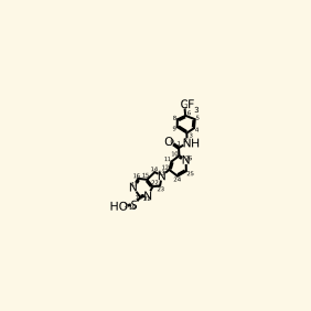 O=C(Nc1ccc(C(F)(F)F)cc1)c1cc(N2Cc3cnc(SO)nc3C2)ccn1